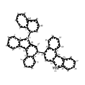 c1ccc2c(-n3c4ccccc4c4c5ccccc5c(-c5cc6[nH]c7ccccc7c6c6ccccc56)cc43)cccc2c1